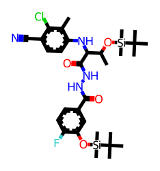 Cc1c(NC(C(=O)NNC(=O)c2ccc(F)c(O[Si](C)(C)C(C)(C)C)c2)C(C)O[Si](C)(C)C(C)(C)C)ccc(C#N)c1Cl